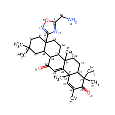 CC1(C)CCC2(c3noc(CN)n3)CCC3C(C(=O)C=C4C5(C)C=C(C#N)C(=O)C(C)(C)C5CCC43C)C2C1